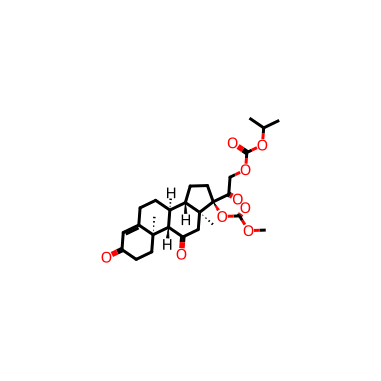 COC(=O)O[C@]1(C(=O)COC(=O)OC(C)C)CC[C@H]2[C@@H]3CCC4=CC(=O)CC[C@]4(C)[C@H]3C(=O)C[C@@]21C